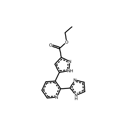 CCOC(=O)c1cc(-c2cccnc2-c2ncc[nH]2)[nH]n1